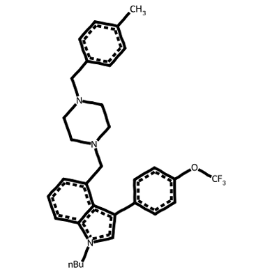 CCCCn1cc(-c2ccc(OC(F)(F)F)cc2)c2c(CN3CCN(Cc4ccc(C)cc4)CC3)cccc21